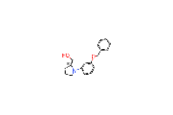 OC[C@@H]1CCCN1c1cccc(OCc2ccccc2)c1